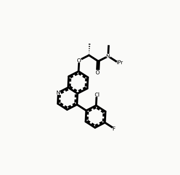 CC(C)N(C)C(=O)[C@@H](C)Oc1ccc2c(-c3ccc(F)cc3Cl)ccnc2c1